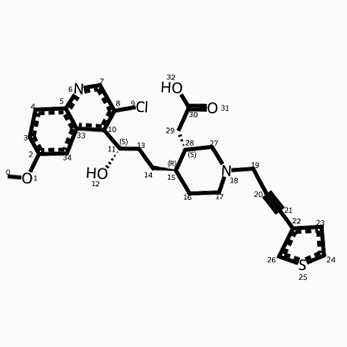 COc1ccc2ncc(Cl)c([C@@H](O)CC[C@@H]3CCN(CC#Cc4ccsc4)C[C@H]3CC(=O)O)c2c1